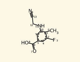 Cc1c(F)cc(C(=O)O)cc1NCC#N